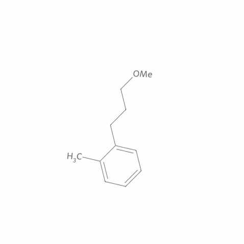 COCCCc1ccccc1C